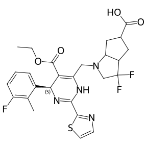 CCOC(=O)C1=C(CN2CC(F)(F)C3CC(C(=O)O)CC32)NC(c2nccs2)=N[C@H]1c1cccc(F)c1C